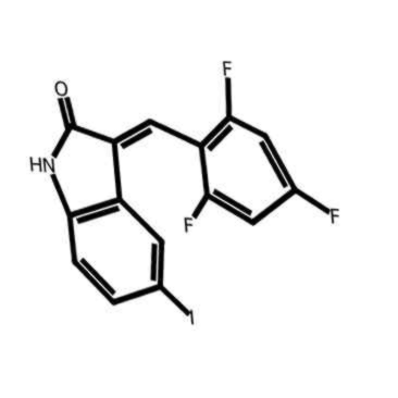 O=C1Nc2ccc(I)cc2C1=Cc1c(F)cc(F)cc1F